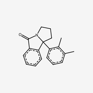 Cc1cccc(C23CCCN2C(=O)c2ccccc23)c1C